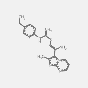 C=C(Nc1ccc(CC)cn1)S/C=C(\N)c1c(C)nc2ncccn12